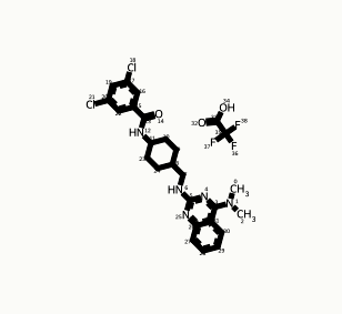 CN(C)c1nc(NCC2CCC(NC(=O)c3cc(Cl)cc(Cl)c3)CC2)nc2ccccc12.O=C(O)C(F)(F)F